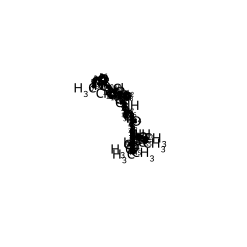 Cc1ccc2cccc(OCc3c(Cl)ccc(S(=O)(=O)N4CCC[C@H]4C(=O)NCC4CCN(C(=O)CCCN(C=NC(=O)OC(C)(C)C)NC(=O)OC(C)(C)C)CC4)c3Cl)c2n1